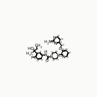 CCC(C)(O)c1cc(NC(=O)N2CCN(c3ncccc3OCc3ccnc(N)n3)CC2)ccc1F